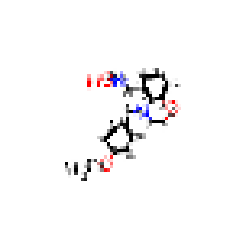 COc1ccc(CN2CCOc3cccc(/C=N/O)c32)cc1